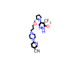 N#Cc1ccc(N2CCN(CCCOC[C@@H]3CCCN3c3cn[nH]c(=O)c3C(F)(F)F)CC2)nc1